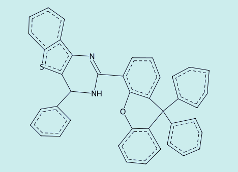 c1ccc(C2NC(c3cccc4c3Oc3ccccc3C4(c3ccccc3)c3ccccc3)=Nc3c2sc2ccccc32)cc1